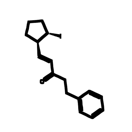 O=C(/C=C/[C@H]1CCC[C@@H]1I)CCc1ccccc1